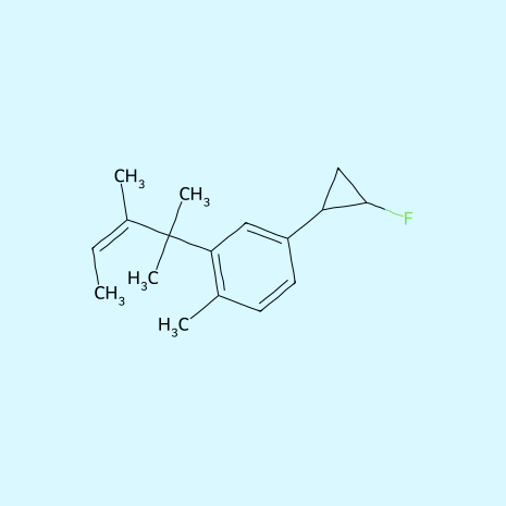 C/C=C(/C)C(C)(C)c1cc(C2CC2F)ccc1C